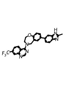 Cc1nc2ccc(-c3ccc4c(c3)CN(c3ncnc5cc(C(F)(F)F)ccc35)CCO4)cc2[nH]1